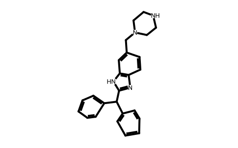 c1ccc(C(c2ccccc2)c2nc3ccc(CN4CCNCC4)cc3[nH]2)cc1